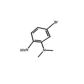 CNc1ccc(Br)cc1N(C)C